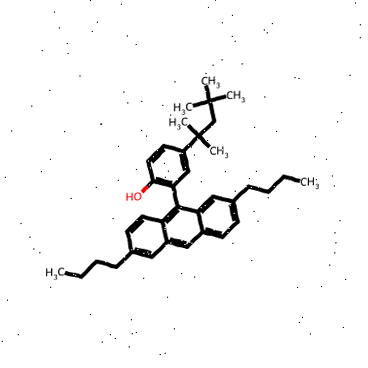 CCCCc1ccc2c(-c3cc(C(C)(C)CC(C)(C)C)ccc3O)c3cc(CCCC)ccc3cc2c1